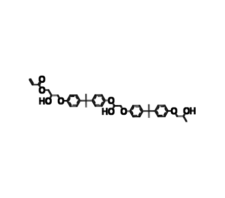 C=CC(=O)OCC(O)COc1ccc(C(C)(C)c2ccc(OC(O)COc3ccc(C(C)(C)c4ccc(OCC(C)O)cc4)cc3)cc2)cc1